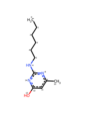 CCCCCCNc1nc(C)cc(O)n1